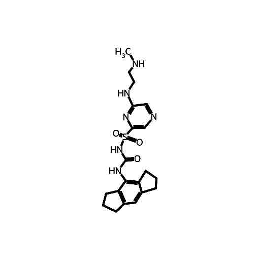 CNCCNc1cncc(S(=O)(=O)NC(=O)Nc2c3c(cc4c2CCC4)CCC3)n1